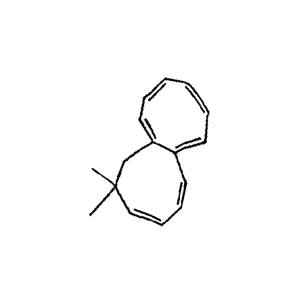 CC1(C)C=CC=CC2=CC=CC=CC=C2C1